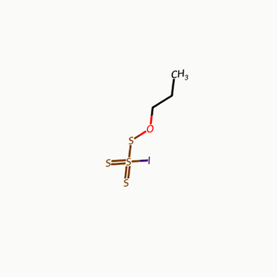 CCCOSS(=S)(=S)I